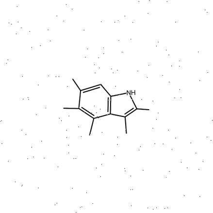 Cc1cc2[nH]c(C)c(C)c2c(C)c1C